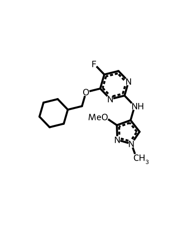 COc1nn(C)cc1Nc1ncc(F)c(OCC2CCCCC2)n1